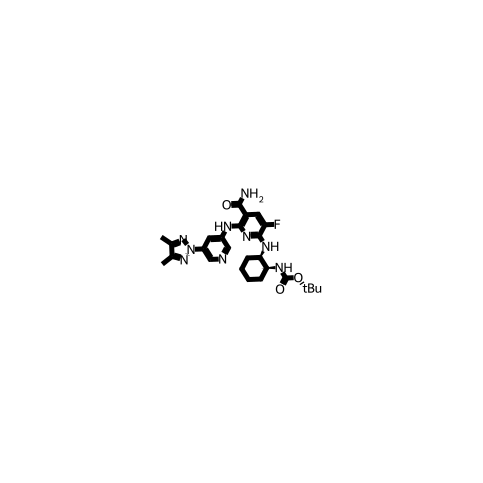 Cc1nn(-c2cncc(Nc3nc(N[C@@H]4CCCC[C@@H]4NC(=O)OC(C)(C)C)c(F)cc3C(N)=O)c2)nc1C